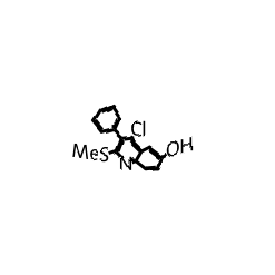 CSc1nc2ccc(O)cc2c(Cl)c1-c1ccccc1